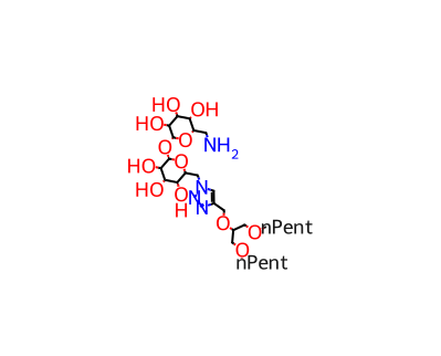 CCCCCOCC(COCCCCC)OCc1cn(CC2O[C@H](O[C@H]3OC(CN)[C@@H](O)C(O)C3O)C(O)C(O)[C@@H]2O)nn1